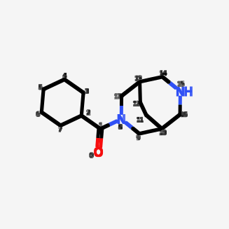 O=C(C1CCCCC1)N1CC2CCC(CNC2)C1